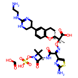 CC1(C)[C@H](NC(=O)/C(=N\O[C@](C)(C(=O)O)[C@H]2CCc3cc(C4CN=C(NCCN)NC4)ccc3O2)c2csc(N)n2)C(=O)N1OS(=O)(=O)O.O=CO